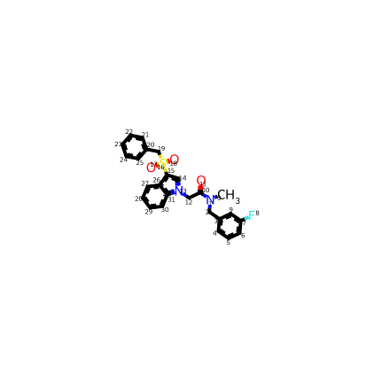 CN(Cc1cccc(F)c1)C(=O)Cn1cc(S(=O)(=O)Cc2ccccc2)c2ccccc21